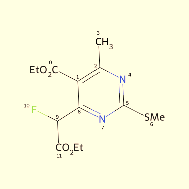 CCOC(=O)c1c(C)nc(SC)nc1C(F)C(=O)OCC